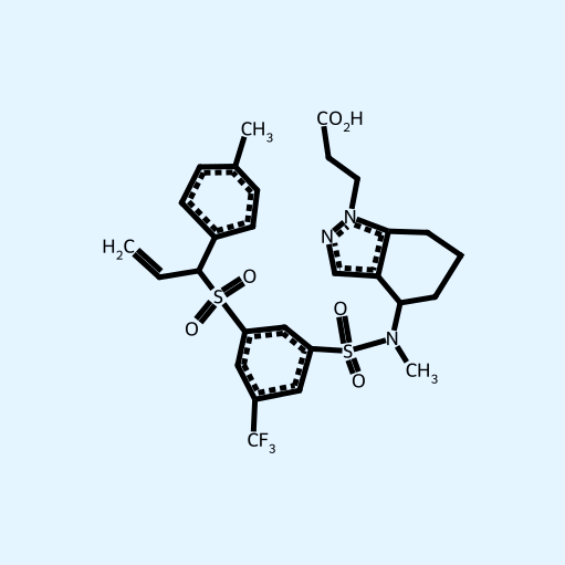 C=CC(c1ccc(C)cc1)S(=O)(=O)c1cc(C(F)(F)F)cc(S(=O)(=O)N(C)C2CCCc3c2cnn3CCC(=O)O)c1